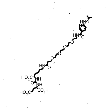 CC(C)=NNc1ccc(C(=O)NCCOCCOCCOCCOCCC(=O)NCCCC[C@H](NC(=O)N[C@@H](CCC(=O)O)C(=O)O)C(=O)O)cn1